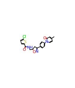 Cc1ccn(-c2ccc(C3=NOC(CNC(=O)c4ccc(Cl)s4)C3)cc2)c(=O)c1